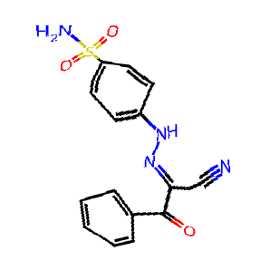 N#C/C(=N\Nc1ccc(S(N)(=O)=O)cc1)C(=O)c1ccccc1